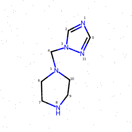 c1ncn(CN2CCNCC2)n1